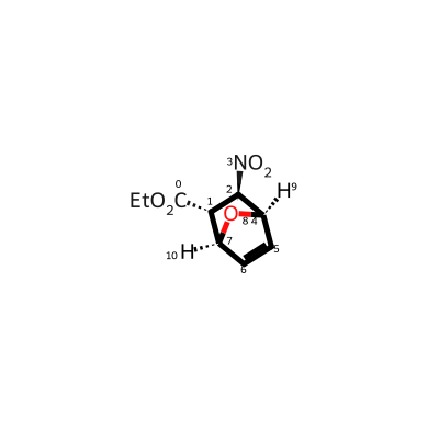 CCOC(=O)[C@@H]1[C@@H]([N+](=O)[O-])[C@H]2C=C[C@@H]1O2